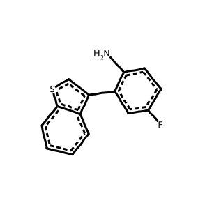 Nc1ccc(F)cc1-c1csc2ccccc12